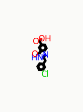 O=C(O)c1ccc2nc(Cc3cccc(Cl)c3)[nH]c(=O)c2c1